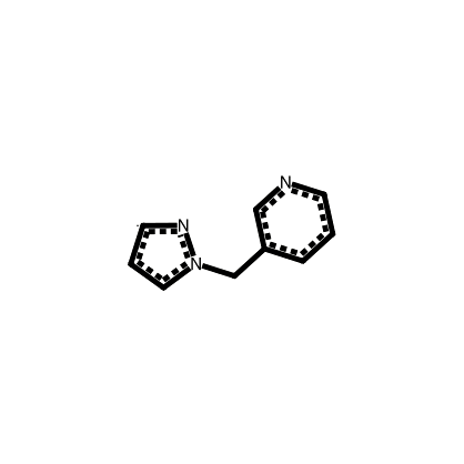 [c]1ccn(Cc2cccnc2)n1